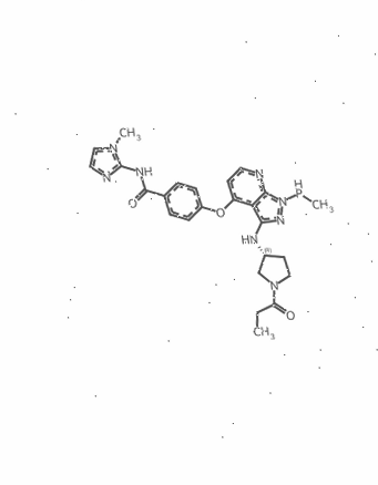 CCC(=O)N1CC[C@@H](Nc2nn(PC)c3nccc(Oc4ccc(C(=O)Nc5nccn5C)cc4)c23)C1